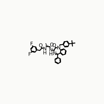 C[C@H](NC(=O)Cc1cc(F)cc(F)c1)C(=O)NC1N=C(c2ccccc2)c2ccccc2N(Cc2ccc(C(C)(C)C)cc2)C1=O